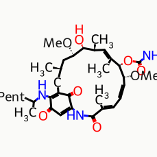 CCCCCC(C)NC1=C2C[C@@H](C)C[C@H](OC)[C@H](O)[C@@H](C)/C=C(\C)[C@H](OC(N)=O)[C@H](OC)/C=C\C=C(/C)C(=O)NC(=CC1=O)C2=O